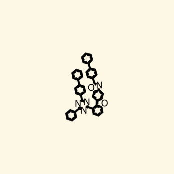 c1ccc(-c2ccc(-c3nc(-c4ccccc4)nc(-c4cccc5oc6cc7nc(-c8ccc(-c9ccccc9)cc8)oc7cc6c45)n3)cc2)cc1